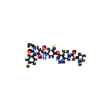 CC(C)n1cc(C(=O)Nc2ccc(Oc3ncnc4c3CCN(C(=O)C[C@@H]3CCCN3C)C4)c(F)c2)c(=O)n(-c2ccc(F)cc2)c1=O